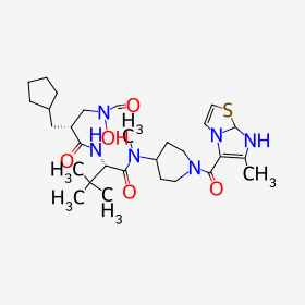 CC1=C(C(=O)N2CCC(N(C)C(=O)[C@@H](NC(=O)[C@H](CC3CCCC3)CN(O)C=O)C(C)(C)C)CC2)N2C=CSC2N1